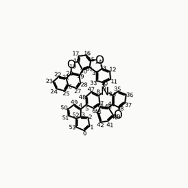 c1ccc2c(-c3ccc(N(c4ccc5oc6ccc7oc8c9ccccc9ccc8c7c6c5c4)c4cccc5oc6ccccc6c45)cc3)cccc2c1